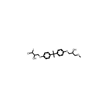 COCC(O)COc1ccc(C(C)(C)c2ccc(OCC(O)C(Cl)I)cc2)cc1